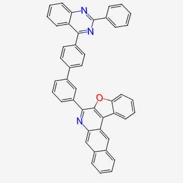 c1ccc(-c2nc(-c3ccc(-c4cccc(-c5nc6cc7ccccc7cc6c6c5oc5ccccc56)c4)cc3)c3ccccc3n2)cc1